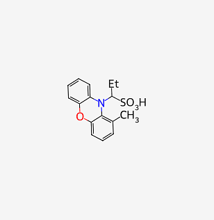 CCC(N1c2ccccc2Oc2cccc(C)c21)S(=O)(=O)O